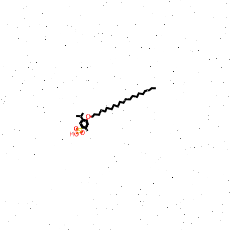 CCCCCCCCCCCCCCCCCCCCCOc1cc(C)c(S(=O)(=O)O)cc1C(C)C